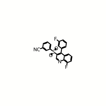 N#Cc1cccc(S(=O)(=O)c2cnc3c(F)cccc3c2-c2cccc(F)c2)c1